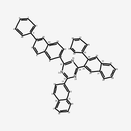 c1ccc(-c2ccc3cc(-c4nc(-c5ccc6ccccc6c5)nc(-c5cc6ccccc6cc5-c5ccccc5)n4)ccc3c2)cc1